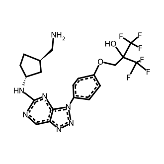 NC[C@@H]1CC[C@@H](Nc2ncc3nnn(-c4ccc(OCC(O)(C(F)(F)F)C(F)(F)F)cc4)c3n2)C1